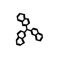 c1ccc2cc(C(c3ccc4ccccc4c3)c3ccc4ccccc4c3)ccc2c1